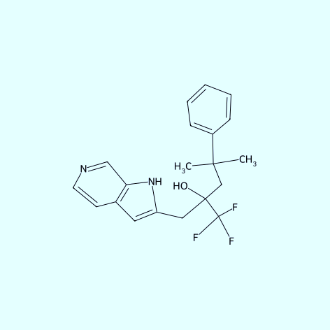 CC(C)(CC(O)(Cc1cc2ccncc2[nH]1)C(F)(F)F)c1ccccc1